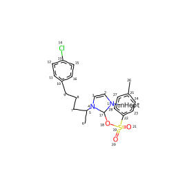 CCCCCCCN1C=CN(C(C)CCCc2ccc(Cl)cc2)C1OS(=O)(=O)c1ccc(C)cc1